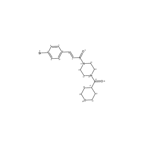 O=C(/C=C/c1ccc(Br)cc1)N1CCN(C(=O)C2CCOCC2)CC1